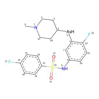 CN1CCC([AsH]c2cc(NS(=O)(=O)c3ccc(F)cc3)ccc2F)CC1